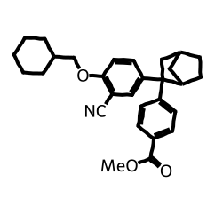 COC(=O)c1ccc(C2(c3ccc(OCC4CCCCC4)c(C#N)c3)CC3CCC2C3)cc1